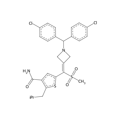 CC(C)Cc1sc(C(=C2CN(C(c3ccc(Cl)cc3)c3ccc(Cl)cc3)C2)S(C)(=O)=O)cc1C(N)=O